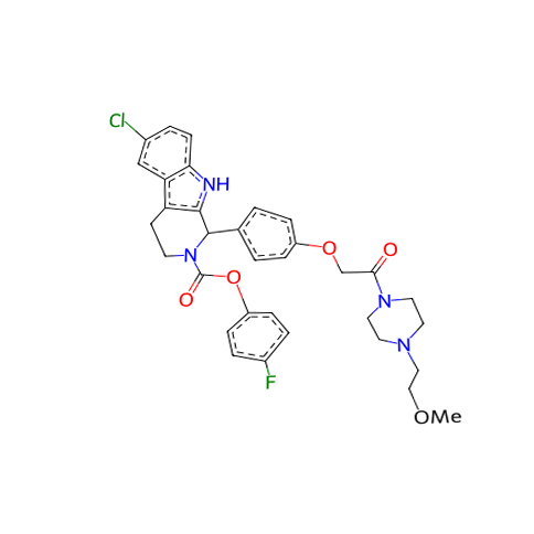 COCCN1CCN(C(=O)COc2ccc(C3c4[nH]c5ccc(Cl)cc5c4CCN3C(=O)Oc3ccc(F)cc3)cc2)CC1